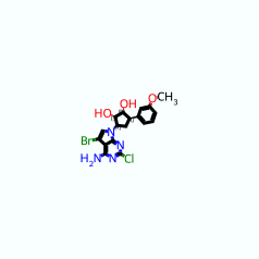 COc1cccc([C@H]2C[C@@H](n3cc(Br)c4c(N)nc(Cl)nc43)[C@H](O)[C@@H]2O)c1